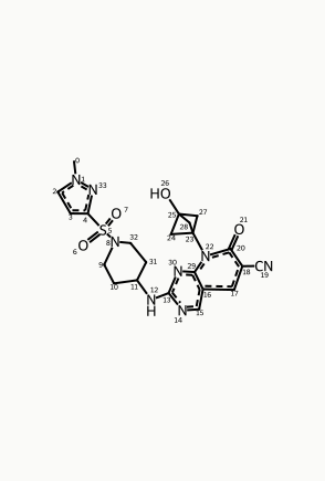 Cn1ccc(S(=O)(=O)N2CCC(Nc3ncc4cc(C#N)c(=O)n(C56CC(O)(C5)C6)c4n3)CC2)n1